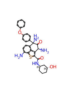 Nc1ccc2c3c(c(C(=O)N[C@@H]4CCC[C@@H](O)C4)sc13)C(N)C(=O)C2(N)c1ccc(Oc2ccccc2)cc1